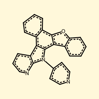 c1ccc2c(c1)oc1c3ccccc3c3c4cccnc4n(-c4ccncc4)c3c21